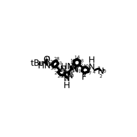 CN(C)CCNc1cc(F)cc(-c2cccc3[nH]c(-c4n[nH]c5ccc(-c6cccc(NC(=O)C(C)(C)C)c6)nc45)nc23)c1